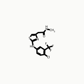 CNC(=O)Cc1csc(Nc2ccc(Cl)c(C(F)(F)F)c2)n1